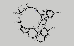 CO[C@@]1(c2ccc(F)nc2)/C=C/C[C@H](C)[C@@H](C)S(=O)(=O)NC(=O)c2ccc3c(c2)N(C[C@@H]2CC[C@H]21)C[C@@]1(CCCc2cc(Cl)ccc21)CO3